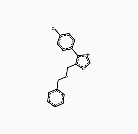 Clc1ccc(-c2[nH]cnc2COCc2ccccc2)cc1